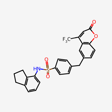 O=c1cc(C(F)(F)F)c2cc(Cc3ccc(S(=O)(=O)Nc4cccc5c4CCC5)cc3)ccc2o1